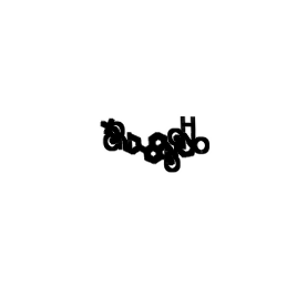 CC(C)(C)OC(=O)N1CCC(c2ccc3c4c(cccc24)N(C2CCC(=O)NC2=O)C3=O)CC1